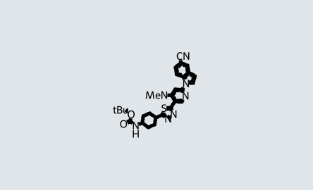 CNc1cc(-n2ccc3cc(C#N)ccc32)ncc1-c1nnc(C2CCC(NC(=O)OC(C)(C)C)CC2)s1